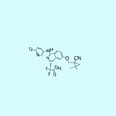 CC1(C)CC1(C#N)COc1ccc2c(Nc3ccc(Cl)nc3)nccc2c1.O=C(O)C(F)(F)F